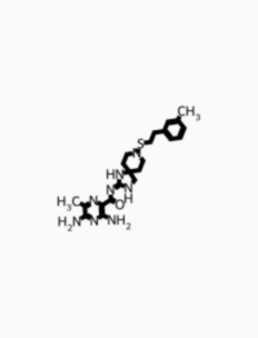 Cc1cccc(CCSN2CCC3(CC2)CN/C(=N\C(=O)c2nc(C)c(N)nc2N)N3)c1